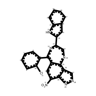 O=[N+]([O-])c1cc2c(-c3ccccc3Cl)nc(-c3cc4ccccc4[nH]3)cnc2c2cnnc12